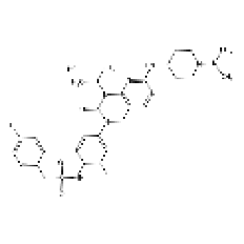 CC(C)N1C(=O)N(c2ccc(NS(=O)(=O)Cc3ccc(F)cc3)c(F)c2)Cc2cnc(NC3CCN(N(C)C)CC3)nc21.Cl